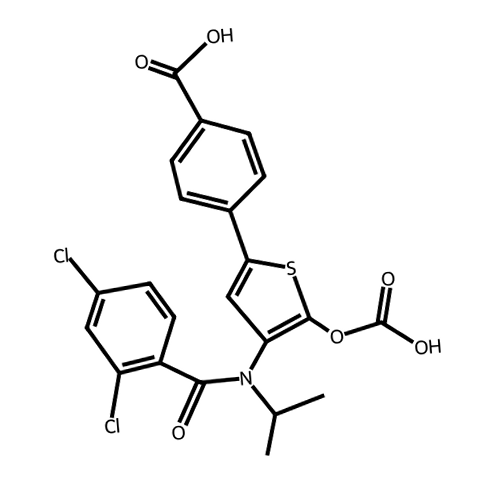 CC(C)N(C(=O)c1ccc(Cl)cc1Cl)c1cc(-c2ccc(C(=O)O)cc2)sc1OC(=O)O